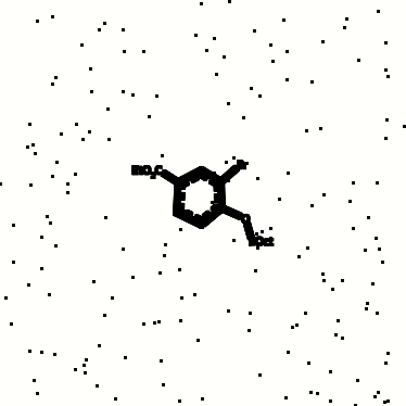 CCCCCCCCOc1ccc(C(=O)OCC)cc1Br